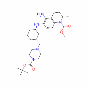 COC(=O)N1c2ccc(N[C@@H]3CCC[C@@H](CN4CCN(C(=O)OC(C)(C)C)CC4)C3)c(N)c2CC[C@@H]1C